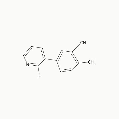 Cc1ccc(-c2cccnc2F)cc1C#N